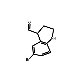 O=CC1CCNc2ccc(Br)cc21